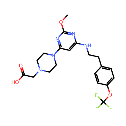 COc1nc(NCCc2ccc(OC(F)(F)F)cc2)cc(N2CCN(CC(=O)O)CC2)n1